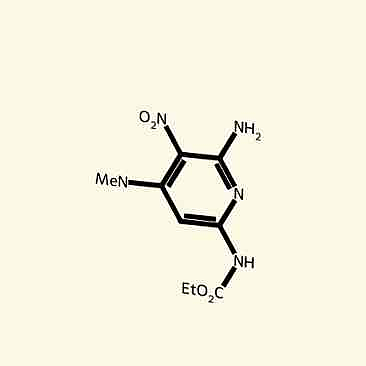 CCOC(=O)Nc1cc(NC)c([N+](=O)[O-])c(N)n1